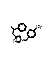 CC(C)c1ccc(Cn2cnc(CC(C)c3ccccc3)c2)cc1